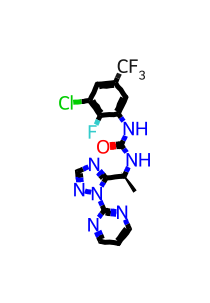 C[C@H](NC(=O)Nc1cc(C(F)(F)F)cc(Cl)c1F)c1ncnn1-c1ncccn1